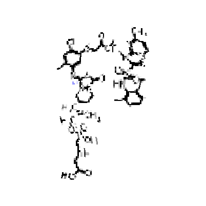 COC(=O)CSc1cc(/N=c2\sc(=O)n3n2CCCC3)c(F)cc1Cl.C[S+](C)C.Cc1ccn2nc(S(=O)(=O)Nc3c(F)cccc3F)nc2n1.O=C(O)CNCP(=O)([O-])O